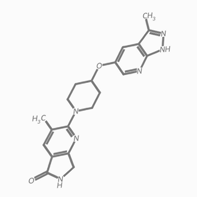 Cc1cc2c(nc1N1CCC(Oc3cnc4[nH]nc(C)c4c3)CC1)CNC2=O